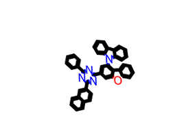 c1ccc(-c2nc(-c3ccc4ccccc4c3)nc(-c3cc(-n4c5ccccc5c5ccccc54)c4c(c3)oc3ccccc34)n2)cc1